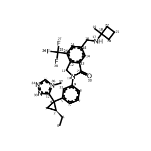 CC[C@H]1CC1(c1cccc(N2Cc3c(cc(CNC4(C)CCC4)cc3C(F)(F)F)C2=O)c1)c1nncn1C